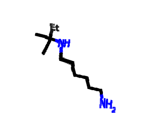 CCC(C)(C)NCCCCCCN